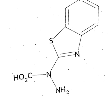 NN(C(=O)O)c1nc2ccccc2s1